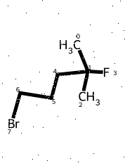 CC(C)(F)CCCBr